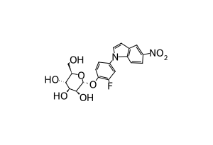 O=[N+]([O-])c1ccc2c(ccn2-c2ccc(O[C@H]3O[C@H](CO)[C@@H](O)[C@H](O)[C@@H]3O)c(F)c2)c1